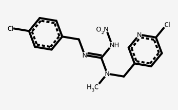 CN(Cc1ccc(Cl)nc1)C(=NCc1ccc(Cl)cc1)N[N+](=O)[O-]